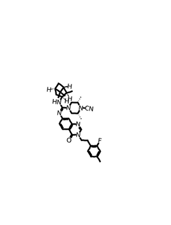 Cc1ccc(CCn2cnc3cc(N=C(N[C@H]4C[C@H]5C[C@H]([C@H]4C)C5(C)C)N4C[C@@H](C)N(C#N)[C@@H](C)C4)ccc3c2=O)c(F)c1